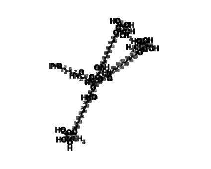 CC(C)OCCCCCCNC(=O)CCCC(=O)NC(COCCC(=O)NCCCCCCCCCCCCO[C@@H]1OC(CO)[C@H](O)[C@H](O)C1C)(COCCC(=O)NCCCCCCCCCCCCO[C@@H]1OC(CO)[C@H](O)[C@H](O)C1C)COCCC(=O)NCCCCCCCCCCCCO[C@@H]1OC(CO)[C@H](O)[C@H](O)C1C